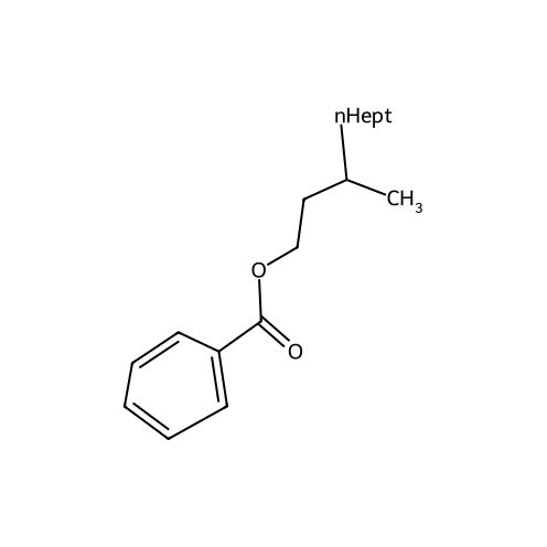 CCCCCCCC(C)CCOC(=O)c1ccccc1